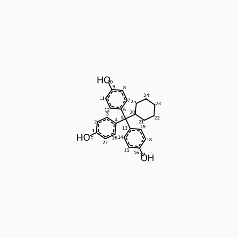 Oc1ccc(C(c2ccc(O)cc2)(c2ccc(O)cc2)C2CCCCC2)cc1